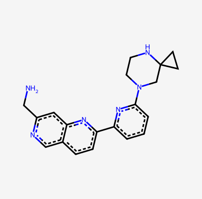 NCc1cc2nc(-c3cccc(N4CCNC5(CC5)C4)n3)ccc2cn1